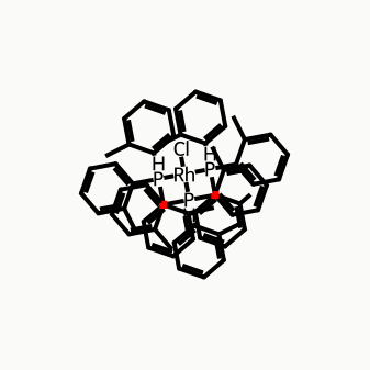 Cc1ccccc1[PH](c1ccccc1C)(c1ccccc1C)[Rh]([Cl])([PH](c1ccccc1C)(c1ccccc1C)c1ccccc1C)[PH](c1ccccc1C)(c1ccccc1C)c1ccccc1C